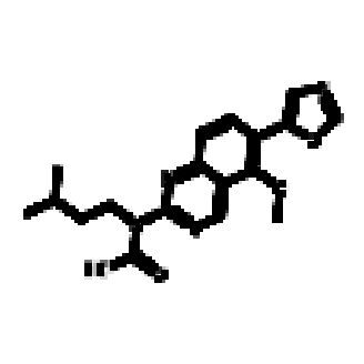 COc1c(-c2cnco2)ccc2nc(N(CCC(C)C)C(=O)O)ncc12